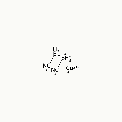 [BH3-]C#N.[BH3-]C#N.[Cu+2]